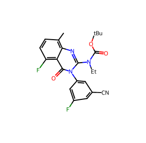 CCN(C(=O)OC(C)(C)C)c1nc2c(C)ccc(F)c2c(=O)n1-c1cc(F)cc(C#N)c1